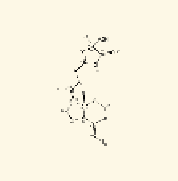 C[C@H](CCC1=C[C@@](C)(O)C(=O)O1)[C@H]1CCC2C(=CI)CCC[C@]21C